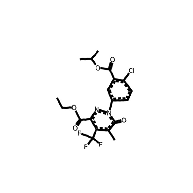 CCOC(=O)c1nn(-c2ccc(Cl)c(C(=O)OC(C)C)c2)c(=O)c(C)c1C(F)(F)F